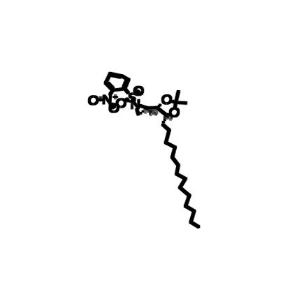 CCCCCCCCCCCCCC[C@H]1OC(C)(C)O[C@H]1[C@@H]1CN1S(=O)(=O)c1ccccc1[N+](=O)[O-]